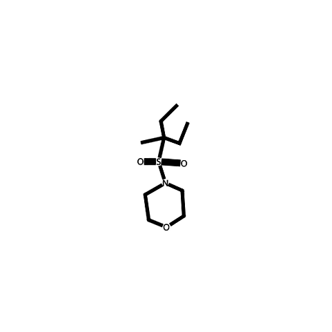 CCC(C)(CC)S(=O)(=O)N1CCOCC1